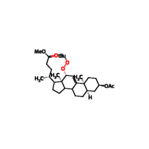 COC(=O)CC[C@@H](C)C1CCC2C3CC[C@@H]4C[C@H](OC(C)=O)CC[C@]4(C)C3=C[C@@H](OOC(C)(C)C)[C@@]21C